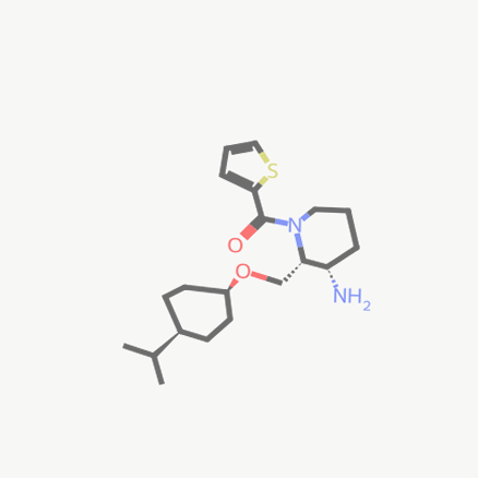 CC(C)[C@H]1CC[C@@H](OC[C@H]2[C@@H](N)CCCN2C(=O)c2cccs2)CC1